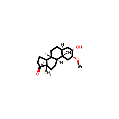 CC(C)O[C@H]1C[C@@]2(C)[C@@H](CC[C@@H]3[C@@H]2CC[C@]2(C)C(=O)CC[C@@H]32)C[C@@H]1O